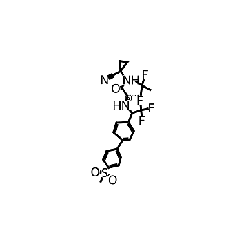 CC(C)(F)C[C@H](NC(c1ccc(-c2ccc(S(C)(=O)=O)cc2)cc1)C(F)(F)F)C(=O)NC1(C#N)CC1